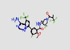 COc1c(F)cc(-c2cc(C(F)(F)F)c3c(N)ncnn23)cc1C(=O)N[C@@H]1CN(C(=O)C(C)C(F)(F)F)C[C@@H]1F